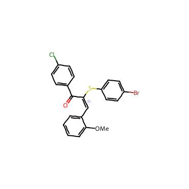 COc1ccccc1/C=C(/Sc1ccc(Br)cc1)C(=O)c1ccc(Cl)cc1